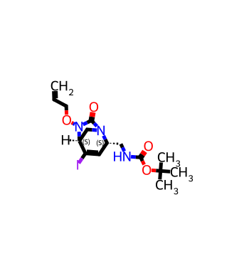 C=CCON1C(=O)N2C[C@H]1C(I)=C[C@H]2CNC(=O)OC(C)(C)C